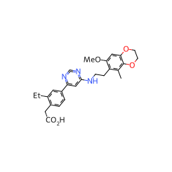 CCc1cc(-c2cc(NCCc3c(OC)cc4c(c3C)OCCO4)ncn2)ccc1CC(=O)O